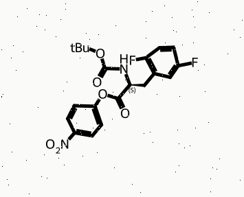 CC(C)(C)OC(=O)N[C@@H](Cc1cc(F)ccc1F)C(=O)Oc1ccc([N+](=O)[O-])cc1